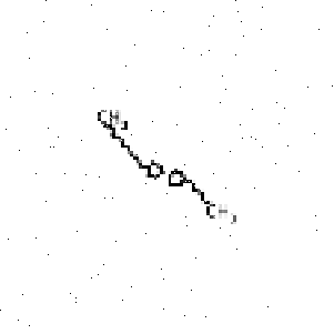 CCCCCCCCCCC1CCC([C@H]2CC[C@H](CCCCCC)CC2)CC1